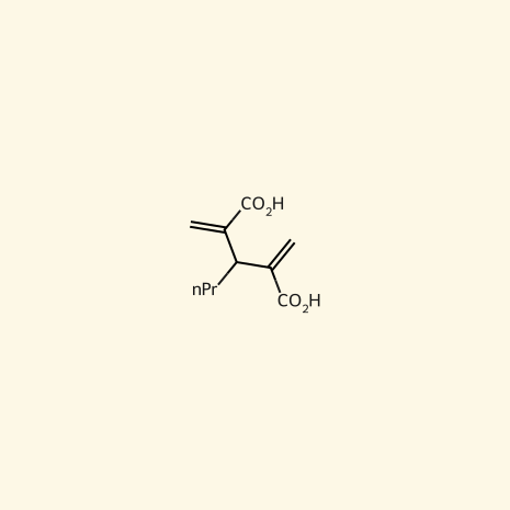 C=C(C(=O)O)C(CCC)C(=C)C(=O)O